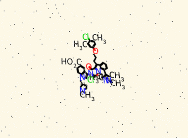 Cc1cc(OCCCc2c3n(c4c(-c5c(C)nn(C)c5C)cccc24)C(C)[C@@H](Cl)N(c2cn(C[C@H]4CCN(C)C4)c4ccc(C(=O)O)cc24)C3=O)cc(C)c1Cl